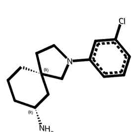 N[C@@H]1CCC[C@@]2(CCN(c3cccc(Cl)c3)C2)C1